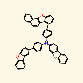 c1ccc2c(c1)ccc1c2oc2cccc(-c3ccc(N(c4ccc(-c5ccc6oc7ccccc7c6c5)cc4)c4ccc5c(c4)sc4ccccc45)cc3)c21